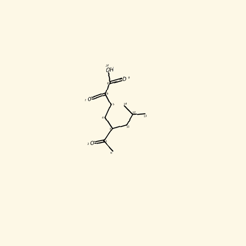 CC(=O)C(CCC(=O)C(=O)O)CC(C)C